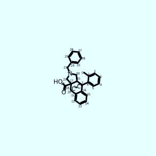 Cc1ccccc1C12CCC(c3ccccc31)C1(C(=O)O)CN(Cc3ccccc3)CC21